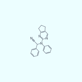 N#CC(c1ccccc1)N(c1ccccc1)c1ncc2c(n1)CCC2